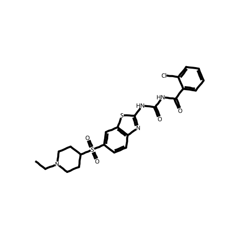 CCN1CCC(S(=O)(=O)c2ccc3nc(NC(=O)NC(=O)c4ccccc4Cl)sc3c2)CC1